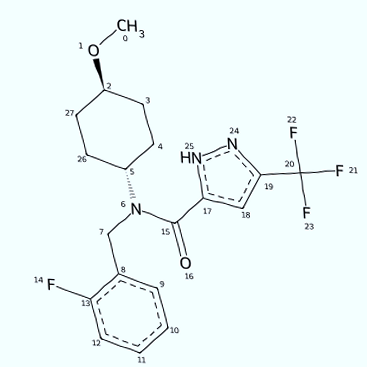 CO[C@H]1CC[C@H](N(Cc2ccccc2F)C(=O)c2cc(C(F)(F)F)n[nH]2)CC1